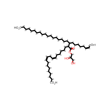 CCCCCCCC/C=C\CCCCCC(CCCCCCCCCCCCCCCCCC(=O)O)C(CCCCC/C=C\C/C=C\CCCCCCCC(=O)O)C(=O)OCC(O)CO